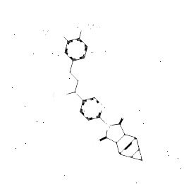 COc1ccc(CCC(O)c2ccc(N3C(=O)C4C5C=CC(C6CC56)C4C3=O)nc2)cc1OC